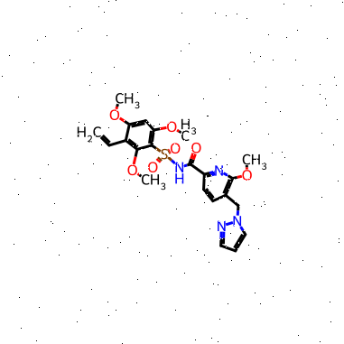 C=Cc1c(OC)cc(OC)c(S(=O)(=O)NC(=O)c2ccc(Cn3cccn3)c(OC)n2)c1OC